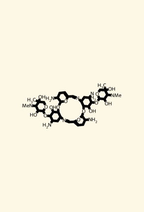 CNC1C(O)C(OC2C(N)CC3N=CC4=CCC(N)C(O4)OC4C(CC(N)C(OC5OCC(C)(O)C(NC)C5O)C4O)N=CC4=CCC(N)C(O4)OC3C2O)OCC1(C)O